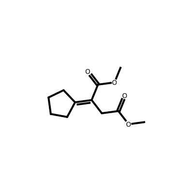 COC(=O)CC(C(=O)OC)=C1CCCC1